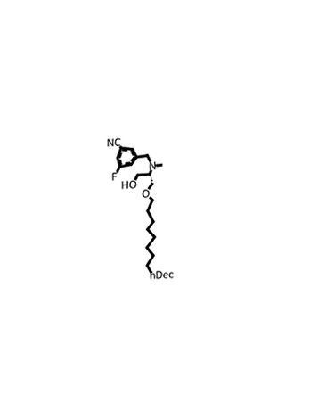 CCCCCCCCCCCCCCCCCCOC[C@H](CO)N(C)Cc1cc(F)cc(C#N)c1